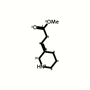 COC(=O)CC=C1CCCNC1